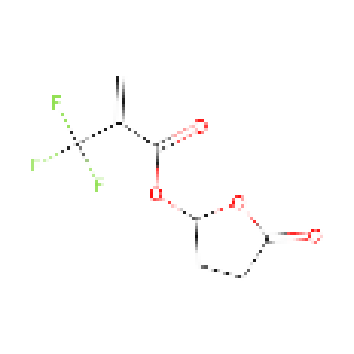 C=C(C(=O)OC1CCC(=O)O1)C(F)(F)F